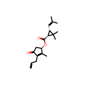 C=CCC1=C(C)[C@H](OC(=O)[C@H]2[C@H](C=C(C)C)C2(C)C)CC1=O